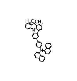 CC1(C)c2ccccc2-n2c3ccc(-c4ccc(N(c5cccc6ccccc56)c5cccc6ccccc56)cc4)cc3c3cccc1c32